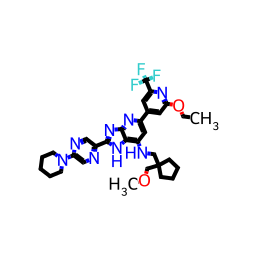 CCOc1cc(-c2cc(NCC3(COC)CCCC3)c3[nH]c(-c4cnc(N5CCCCC5)cn4)nc3n2)cc(C(F)(F)F)n1